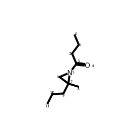 CCCC(=O)N1CC1(C)CCC